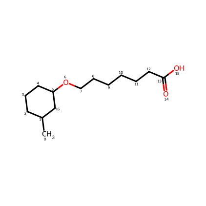 CC1CCCC(OCCCCCCC(=O)O)C1